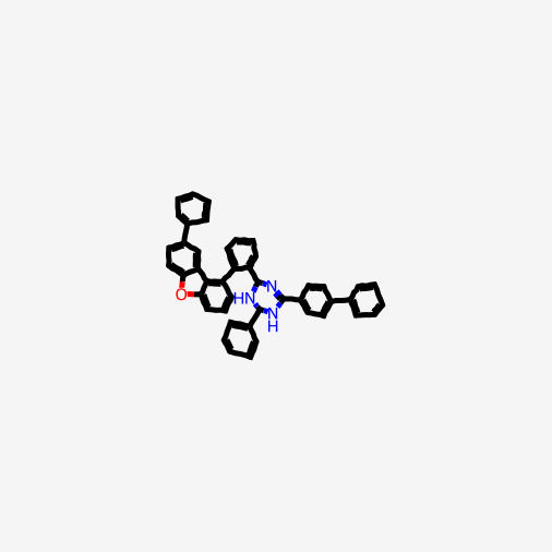 c1ccc(-c2ccc(C3=NC(c4ccccc4-c4cccc5oc6ccc(-c7ccccc7)cc6c45)NC(c4ccccc4)N3)cc2)cc1